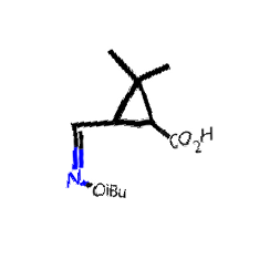 CC(C)CO/N=C\C1C(C(=O)O)C1(C)C